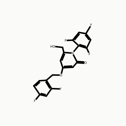 O=c1cc(OCc2ccc(F)cc2F)cc(CO)n1-c1c(F)cc(F)cc1F